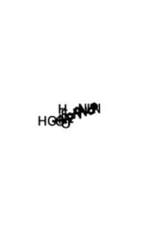 O=C(NOCCO)c1c(F)cc(-c2ccc3[nH]n(Cc4ccc5ncccc5c4)c3n2)cc1F